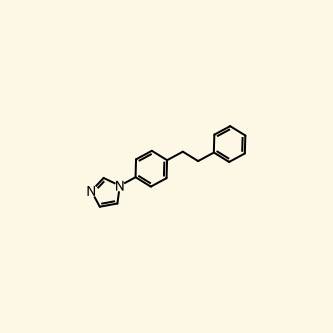 c1ccc(CCc2ccc(-n3ccnc3)cc2)cc1